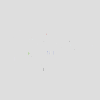 N[C@@H](CCOCc1ccsc1)C(=O)COc1c(F)c(F)cc(F)c1F.[Cl-].[H+]